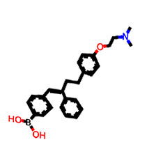 CN(C)CCOc1ccc(CCC(=Cc2ccc(B(O)O)cc2)c2ccccc2)cc1